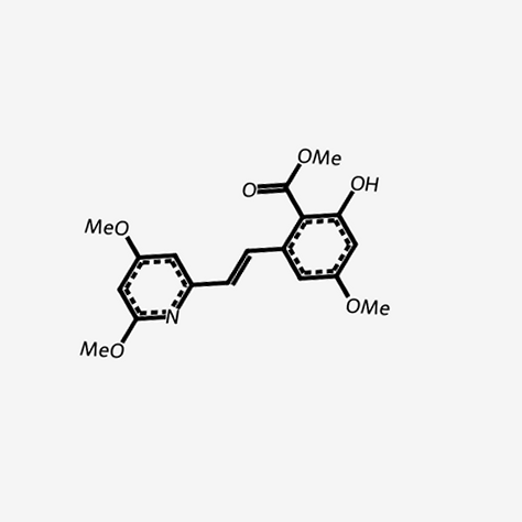 COC(=O)c1c(O)cc(OC)cc1C=Cc1cc(OC)cc(OC)n1